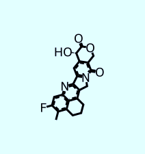 Cc1c(F)cc2nc3c(c4c2c1CCC4)Cn1c-3cc2c(c1=O)COC(=O)[C@H]2O